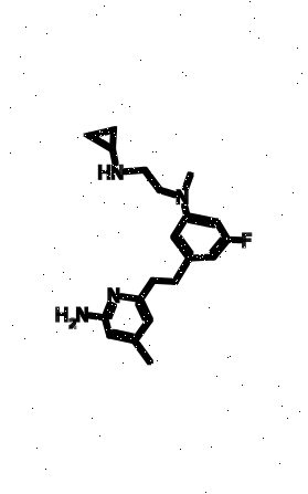 Cc1cc(N)nc(CCc2cc(F)cc(N(C)CCNC3CC3)c2)c1